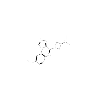 CNC1CN(c2nc3ncc(OC)cc3n3cnnc23)C1